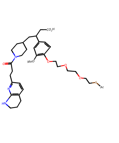 COc1cc(C(CC(=O)O)CC2CCN(C(=O)CCc3ccc4c(n3)NCCC4)CC2)ccc1OCCOCCOCCSC(C)=O